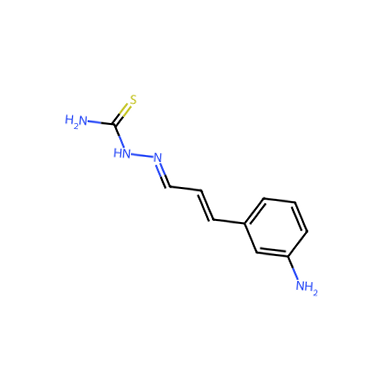 NC(=S)N/N=C/C=C/c1cccc(N)c1